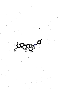 Cc1ccc(/C=C/C(=O)NC23CCC4C(C(=O)C=C5C6(C)C=C(C#N)C(=O)C(C)C6CCC54C)C2CC(C)(C)CC3)cc1